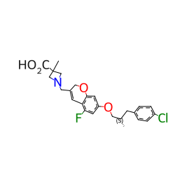 C[C@H](COc1cc(F)c2c(c1)OCC(CN1CC(C)(C(=O)O)C1)=C2)Cc1ccc(Cl)cc1